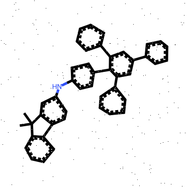 CC1(C)c2ccccc2-c2ccc(Nc3ccc(-c4c(-c5ccccc5)cc(-c5ccccc5)cc4-c4ccccc4)cc3)cc21